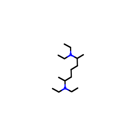 CCN(CC)C(C)CCCC(C)N(CC)CC